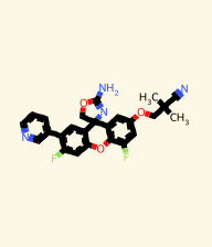 CC(C)(C#N)COc1cc(F)c2c(c1)C1(COC(N)=N1)c1cc(-c3cccnc3)c(F)cc1O2